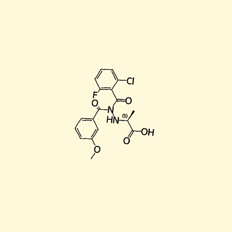 COc1cccc(C(=O)N(N[C@@H](C)C(=O)O)C(=O)c2c(F)cccc2Cl)c1